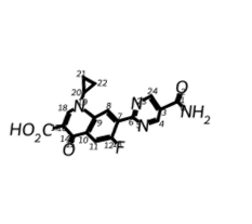 NC(=O)c1cnc(-c2cc3c(cc2F)c(=O)c(C(=O)O)cn3C2CC2)nc1